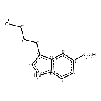 O=C(O)c1ccc2[nH]cc(CCCCl)c2c1